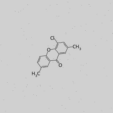 Cc1ccc2oc3c(Cl)cc(C)cc3c(=O)c2c1